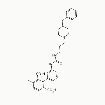 CC1=NC(C)=C(C(=O)O)C(c2cccc(NC(=O)NCCCN3CCC(Cc4ccccc4)CC3)c2)C1C(=O)O